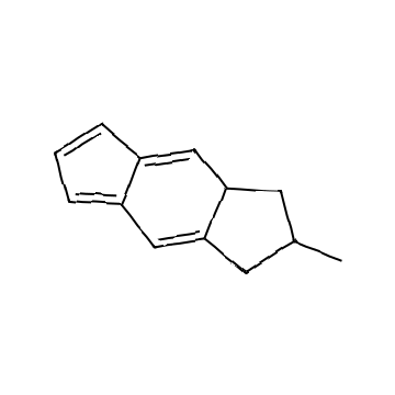 CC1CC2=CC3=CC=CC3=CC2C1